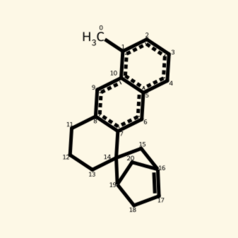 Cc1cccc2cc3c(cc12)CCCC31CC2=CCC1C2